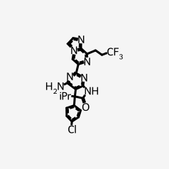 CC(C)C1(c2ccc(Cl)cc2)C(=O)Nc2nc(-c3cn4ccnc4c(CCC(F)(F)F)n3)nc(N)c21